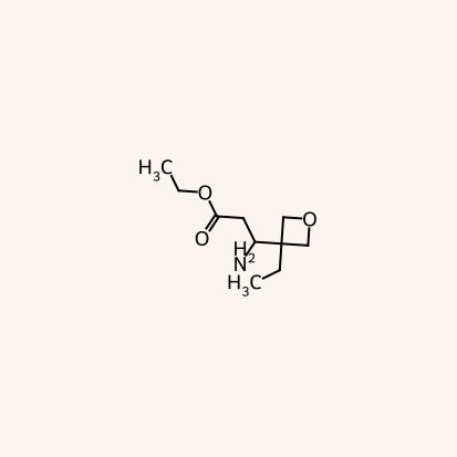 CCOC(=O)CC(N)C1(CC)COC1